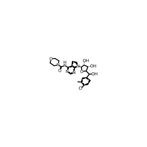 Cc1cc(C(O)C2O[C@@H](n3ccc4c(NC(=O)N5CCOCC5)ncnc43)[C@H](O)[C@@H]2O)ccc1Cl